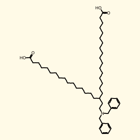 O=C(O)CCCCCCCCCCCCCCCCC(CCCCCCCCCCCCCCCC(=O)O)CCN(Cc1ccccc1)Cc1ccccc1